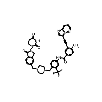 Cc1ccc(C(=O)Nc2ccc(CN3CCN(Cc4ccc5c(c4)CN(N4CCC(=O)NC4=O)C5=O)CC3)c(C(F)(F)F)c2)cc1C#Cc1cnc2cccnn12